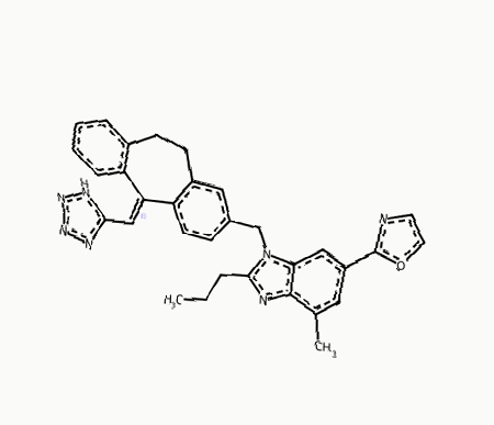 CCCc1nc2c(C)cc(-c3ncco3)cc2n1Cc1ccc2c(c1)CCc1ccccc1/C2=C\c1nnn[nH]1